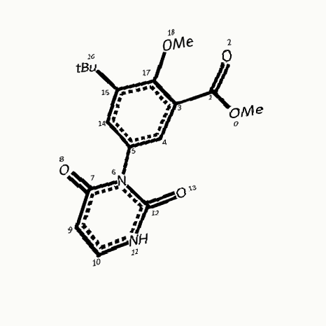 COC(=O)c1cc(-n2c(=O)cc[nH]c2=O)cc(C(C)(C)C)c1OC